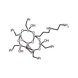 CC(C)C[Si]1(O)O[Si]2(CCCNCCN)O[Si](O)(CC(C)C)O[Si]3(CC(C)C)O[Si](O)(CC(C)C)O[Si](CC(C)C)(O1)O[Si](CC(C)C)(O2)O3